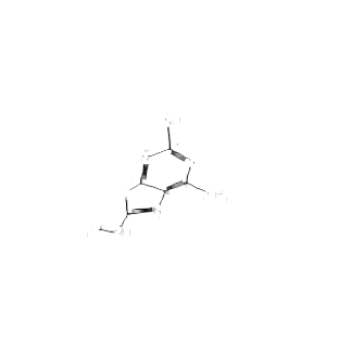 CNc1nc2c(C)nc(N)nc2s1